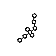 c1ccc(-c2ccc(-c3c4ccccc4c(-c4cccc(-c5ccc6c(c5)oc5ccccc56)c4)c4ccccc34)cc2)cc1